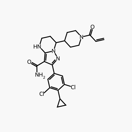 C=CC(=O)N1CCC(C2CCNc3c(C(N)=O)c(-c4cc(Cl)c(C5CC5)c(Cl)c4)nn32)CC1